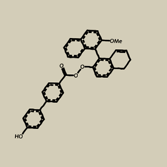 COc1ccc2ccccc2c1-c1c(OOC(=O)c2ccc(-c3ccc(O)cc3)cc2)ccc2c1C=CCC2